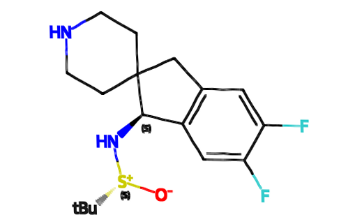 CC(C)(C)[S@@+]([O-])N[C@@H]1c2cc(F)c(F)cc2CC12CCNCC2